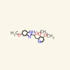 COc1ccc2[nH]c(C(=O)Cc3nccc(OC)c3OC)nc2c1